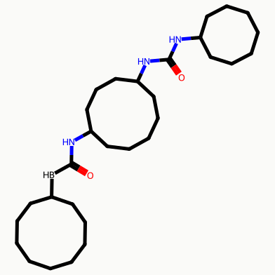 O=C(BC1CCCCCCCCC1)NC1CCCCCC(NC(=O)NC2CCCCCCC2)CCC1